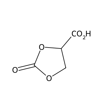 O=C1OCC(C(=O)O)O1